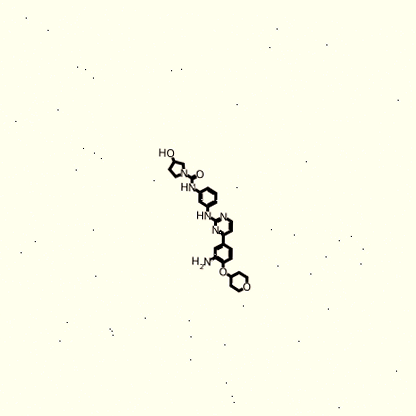 Nc1cc(-c2ccnc(Nc3cccc(NC(=O)N4CCC(O)C4)c3)n2)ccc1OC1CCOCC1